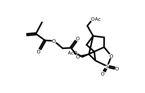 C=C(C)C(=O)OCC(=O)OC1C2C3(COC(C)=O)CC1(COC(C)=O)CC3OS2(=O)=O